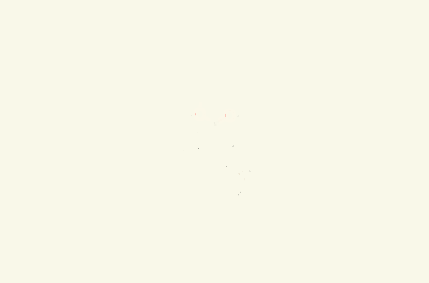 CCOC(=O)[C@H](CCSC)C(C)(C)C